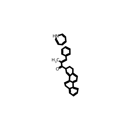 C1=CC=CNC=C1.CC(=Cc1ccccc1)C(=O)C1C=c2c(ccc3c2=CCc2ccccc2-3)CC1